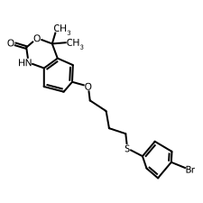 CC1(C)OC(=O)Nc2ccc(OCCCCSc3ccc(Br)cc3)cc21